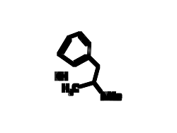 CNC(C)Cc1ccccc1.[KH]